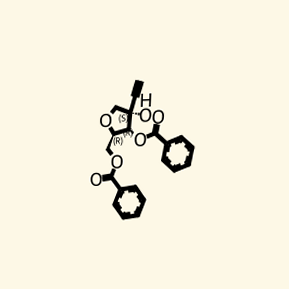 C#C[C@]1(O)CO[C@H](COC(=O)c2ccccc2)[C@H]1OC(=O)c1ccccc1